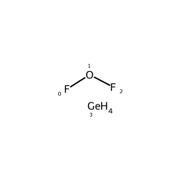 FOF.[GeH4]